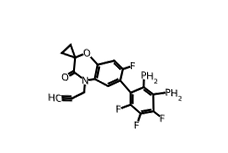 C#CCN1C(=O)C2(CC2)Oc2cc(F)c(-c3c(F)c(F)c(F)c(P)c3P)cc21